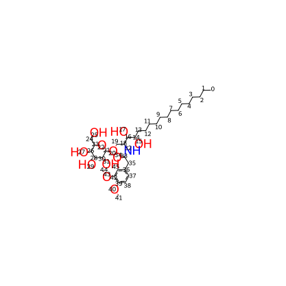 CCCCCCCCCCCCCCC(O)C(O)C(COC1OC(CO)C(O)C(O)C1O)NC(=O)Cc1ccc(OC)c(OC)c1